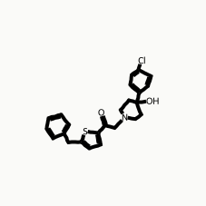 O=C(CN1CCC(O)(c2ccc(Cl)cc2)CC1)c1ccc(Cc2ccccc2)s1